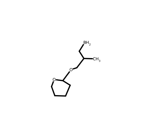 BCC(C)COC1CCCCO1